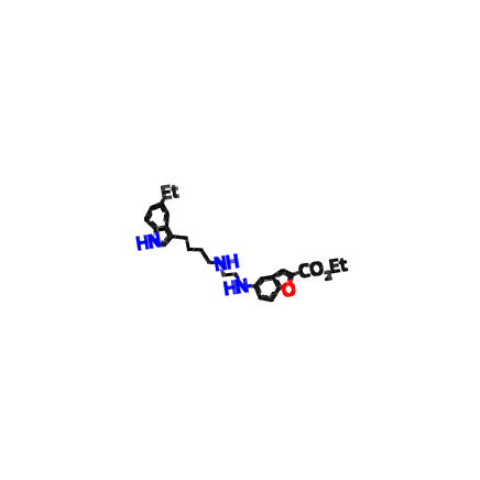 CCOC(=O)c1cc2cc(NCCNCCCCc3c[nH]c4ccc(CC)cc34)ccc2o1